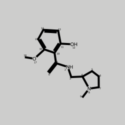 C=C(NCC1CCCN1C)c1c(O)cccc1OC